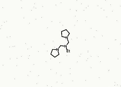 CCN(CN1CCCC1)CN1CCCC1